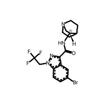 O=C(N[C@@H]1CN2CCC1CC2)c1nn(CC(F)(F)F)c2ccc(Br)cc12